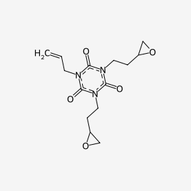 C=CCn1c(=O)n(CCC2CO2)c(=O)n(CCC2CO2)c1=O